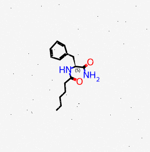 CCCCCC(=O)N[C@@H](Cc1ccccc1)C(N)=O